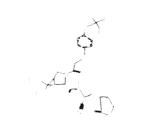 CC1(C)[C@@H]2[C@@H](C(=O)N[C@H](C#N)C[C@@H]3CCNC3=O)N(C(=O)COc3ccc(OC(F)(F)F)cc3)C[C@@H]21